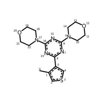 Cc1cscc1-c1nc(N2CCOCC2)nc(N2CCOCC2)n1